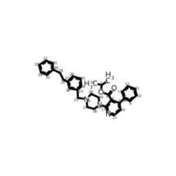 CC(C)OC(=O)c1c(-c2ccccc2)ccnc1N1CCN(Cc2cccc(CCc3ccccc3)c2)CC1